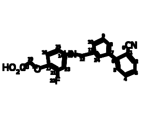 N#Cc1ccccc1-c1cccc(CNc2ccc(OCC(=O)O)c(F)c2)c1